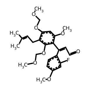 COCOc1cc(OC)c(/C(=C/C=O)c2ccc(OC)cc2F)c(OCOC)c1CC=C(C)C